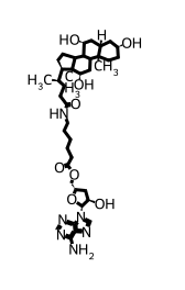 C[C@H](CCC(=O)NCCCCCC(=O)OC[C@@H]1C[C@@H](O)[C@H](n2cnc3c(N)ncnc32)O1)[C@H]1CCC2C3C(C[C@H](O)[C@@]21C)[C@@]1(C)CC[C@@H](O)C[C@H]1C[C@H]3O